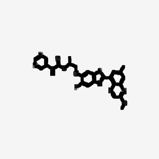 COc1cnc2c(-c3nc4cc(F)c(OCC(C)OC(=O)Nc5cncnc5)cc4s3)cc(C)cc2n1